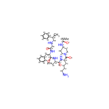 CNC(=O)NC1CCN(C(=O)C(CCCCN)NC(=O)C(CC(C)C)NC(=O)C(Cc2ccccc2)NC(=O)CNCC(C)c2ccccc2)CC1